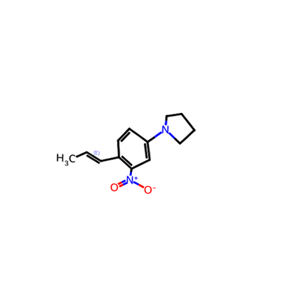 C/C=C/c1ccc(N2CCCC2)cc1[N+](=O)[O-]